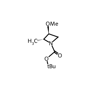 CO[C@H]1CN(C(=O)OC(C)(C)C)[C@@H]1C